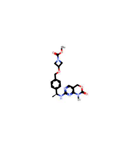 CCN1C(=O)OCc2cnc(N[C@@H](C)c3ccc(COC4CN(C(=O)OC(C)(C)C)C4)cc3)nc21